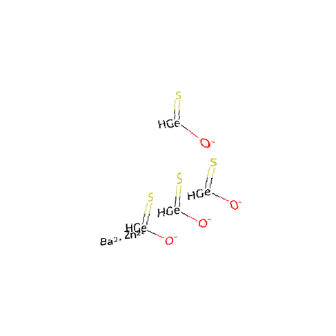 [Ba+2].[O-][GeH]=[S].[O-][GeH]=[S].[O-][GeH]=[S].[O-][GeH]=[S].[Zn+2]